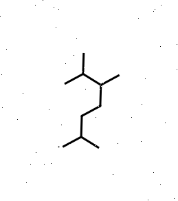 [CH2]C(C)CCC(C)C(C)C